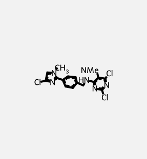 CNc1c(Cl)nc(Cl)nc1NCc1ccc(-c2nc(Cl)cn2C)cc1